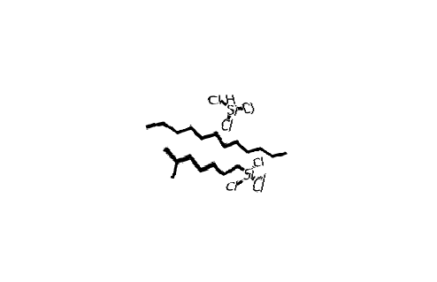 CC(C)CCCCC[Si](Cl)(Cl)Cl.CCC[CH]CCCCCCCC.Cl[SiH](Cl)Cl